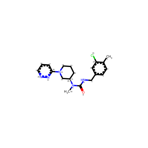 Cc1ccc(CNC(=O)N(C)[C@@H]2CCCN(c3cccnn3)C2)cc1Cl